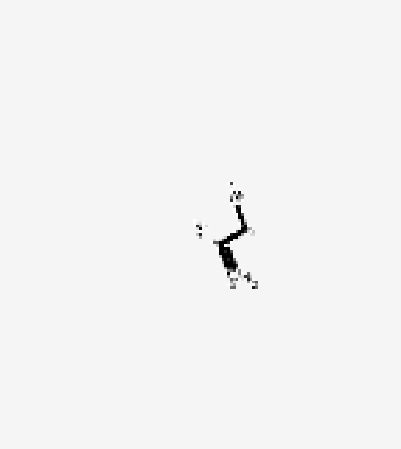 C=C[CH2][Al].[V]